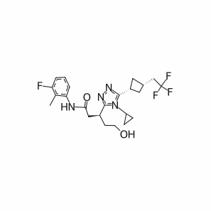 Cc1c(F)cccc1NC(=O)C[C@H](CCO)c1nnc([C@H]2C[C@@H](CC(F)(F)F)C2)n1C1CC1